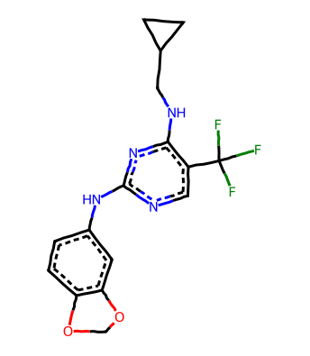 FC(F)(F)c1cnc(Nc2ccc3c(c2)OCO3)nc1NCC1CC1